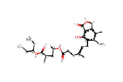 COc1c(C)c2c(c(O)c1C/C=C(\C)CCC(=O)OC(C)CC(C)C(=O)OC(COC(C)=O)COC(C)=O)C(=O)OC2